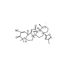 Cc1noc([C@]23CC[C@@H](C)[C@H](C)[C@H]2[C@H]2C(=O)C=C4[C@@]5(C)C=C(C#N)C(=O)C(C)(C)[C@@H]5CC[C@@]4(C)[C@]2(C)CC3)n1